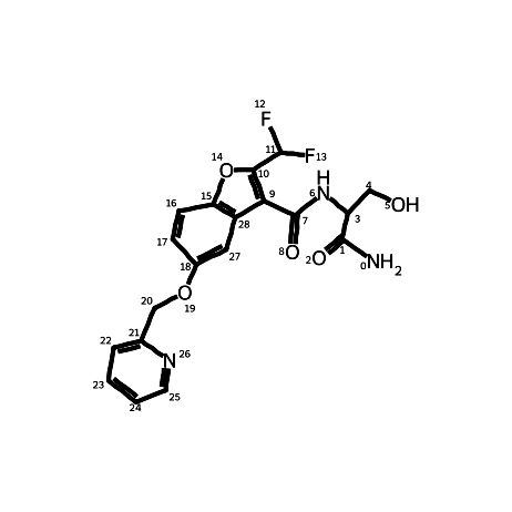 NC(=O)C(CO)NC(=O)c1c(C(F)F)oc2ccc(OCc3ccccn3)cc12